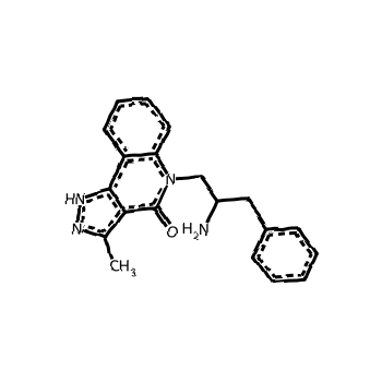 Cc1n[nH]c2c1c(=O)n(CC(N)Cc1ccccc1)c1ccccc21